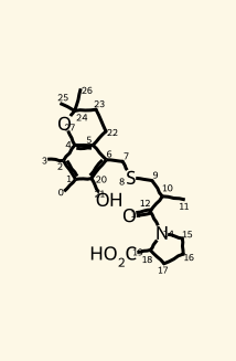 Cc1c(C)c2c(c(CSCC(C)C(=O)N3CCCC3C(=O)O)c1O)CCC(C)(C)O2